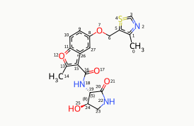 Cc1ncsc1COc1ccc2oc(C)c(C(=O)N[C@@H]3C(=O)NC[C@H]3O)c2c1